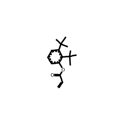 C=CC(=O)Oc1cccc(C(C)(C)C)c1C(C)(C)C